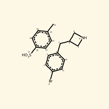 Brc1ccc(CC2CNC2)cc1.Cc1ccc(S(=O)(=O)O)cc1